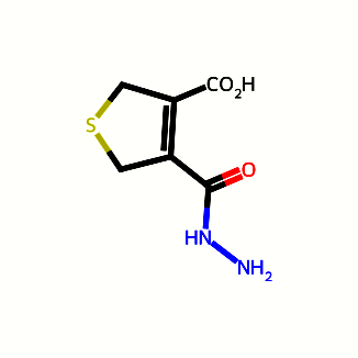 NNC(=O)C1=C(C(=O)O)CSC1